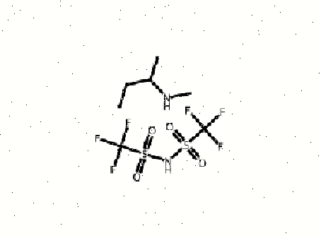 CCC(C)NC.O=S(=O)(NS(=O)(=O)C(F)(F)F)C(F)(F)F